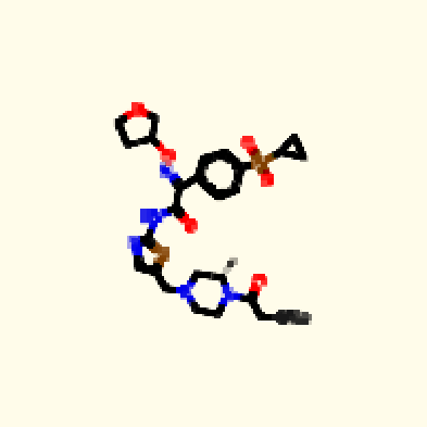 COCC(=O)N1CCN(Cc2cnc(NC(=O)/C(=N/OC3CCOC3)c3ccc(S(=O)(=O)C4CC4)cc3)s2)C[C@@H]1C